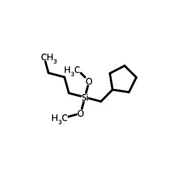 CCCC[Si](CC1CCCC1)(OC)OC